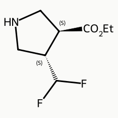 CCOC(=O)[C@@H]1CNC[C@H]1C(F)F